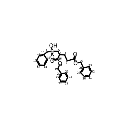 O=C(CCC(CP(=O)(O)Cc1ccccc1)C(=O)OCc1ccccc1)OCc1ccccc1